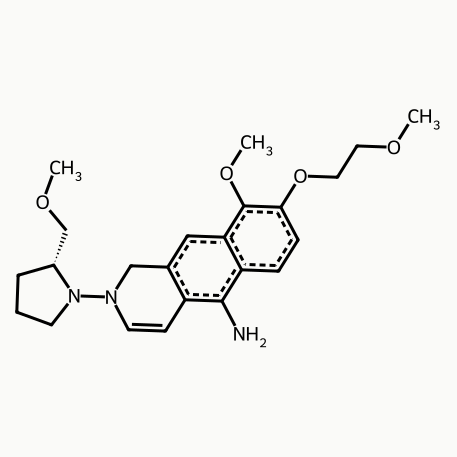 COCCOc1ccc2c(N)c3c(cc2c1OC)CN(N1CCC[C@@H]1COC)C=C3